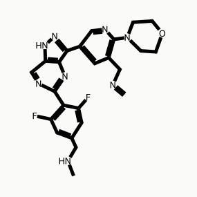 C=NCc1cc(-c2n[nH]c3cnc(-c4c(F)cc(CNC)cc4F)nc23)cnc1N1CCOCC1